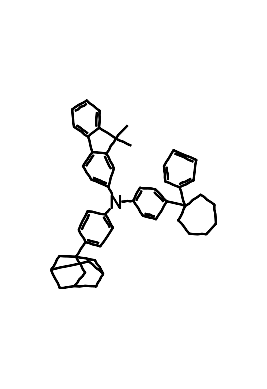 CC1(C)c2ccccc2-c2ccc(N(c3ccc(C45CC6CC(CC(C6)C4)C5)cc3)c3ccc(C4(c5ccccc5)CCCCCC4)cc3)cc21